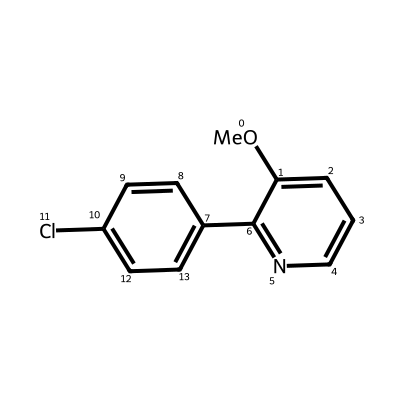 COc1cccnc1-c1ccc(Cl)cc1